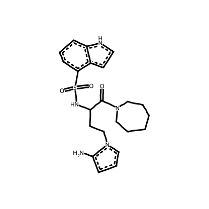 Nc1cccn1CCC(NS(=O)(=O)c1cccc2[nH]ccc12)C(=O)N1CCCCCC1